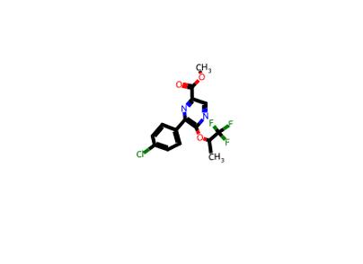 COC(=O)c1cnc(OC(C)C(F)(F)F)c(-c2ccc(Cl)cc2)n1